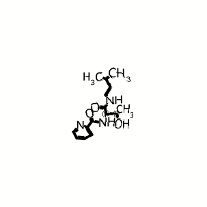 CC(C)CCNC(=O)[C@@H](NC(=O)c1ccccn1)[C@@H](C)O